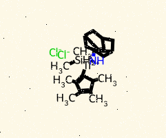 CC1=C(C)C(C)[C]([Ti+2]([NH]C23CC4CC(CC(C4)C2)C3)[SiH](C)C)=C1C.[Cl-].[Cl-]